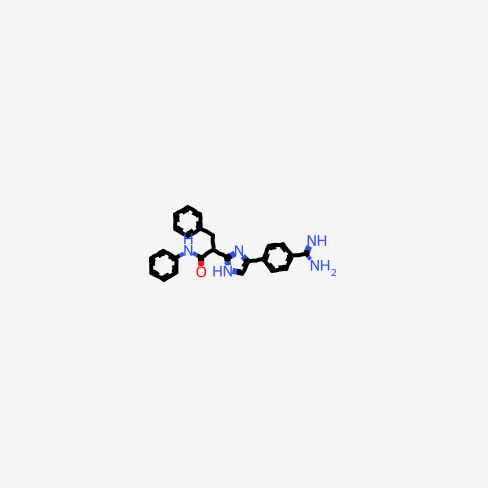 N=C(N)c1ccc(-c2c[nH]c(C(Cc3ccccc3)C(=O)Nc3ccccc3)n2)cc1